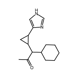 CC(=O)C(C1CCCCC1)C1CC1c1c[nH]cn1